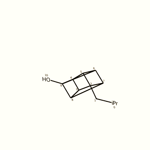 CC(C)CC12C3C4C1C1C2C3C41O